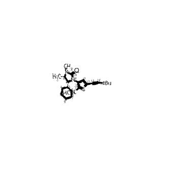 C[C@H]1[C@@H](C2CCCCC2)N(c2cc(C#CC(C)(C)C)sc2C(=O)O)C(=O)N1C